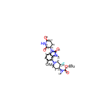 COc1ccc2c(c1N1CCC(N(C)C(=O)OC(C)(C)C)C(F)C1)n(C)c(=O)n2C1CCC(=O)NC1=O